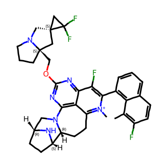 Cc1c(F)ccc2cccc(-c3c(F)c4nc(OC[C@@]56CCCN5C[C@@]5(CC5(F)F)C6)nc5c4c([n+]3C)CC[C@@H]3[C@@H]4CC[C@H](CN53)N4)c12